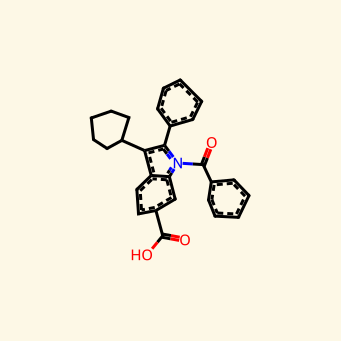 O=C(O)c1ccc2c(C3CCCCC3)c(-c3ccccc3)n(C(=O)c3ccccc3)c2c1